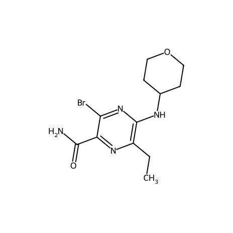 CCc1nc(C(N)=O)c(Br)nc1NC1CCOCC1